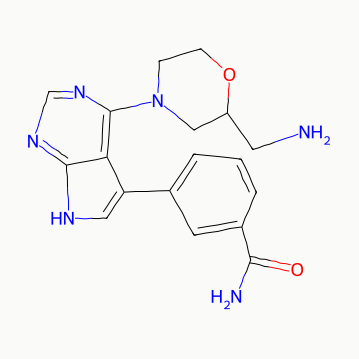 NCC1CN(c2ncnc3[nH]cc(-c4cccc(C(N)=O)c4)c23)CCO1